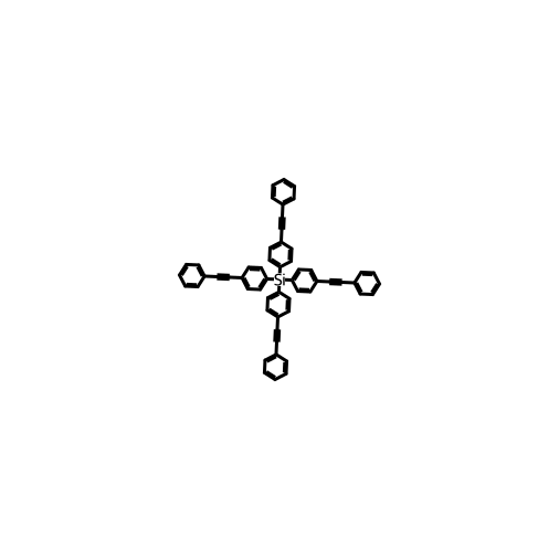 C(#Cc1ccc([Si](c2ccc(C#Cc3ccccc3)cc2)(c2ccc(C#Cc3ccccc3)cc2)c2ccc(C#Cc3ccccc3)cc2)cc1)c1ccccc1